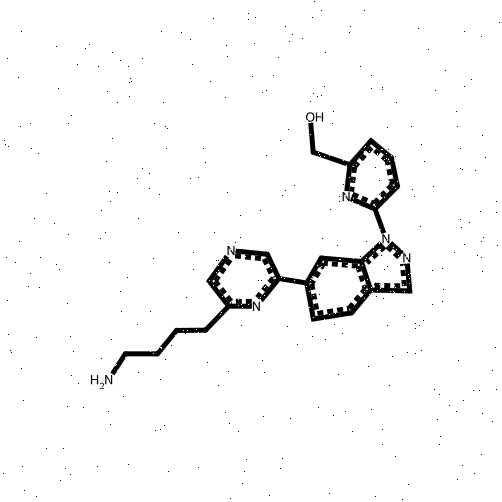 NCCCCc1cncc(-c2ccc3cnn(-c4cccc(CO)n4)c3c2)n1